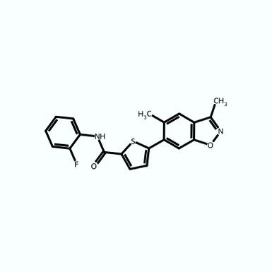 Cc1cc2c(C)noc2cc1-c1ccc(C(=O)Nc2ccccc2F)s1